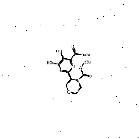 COC(=O)c1nc(C2COCCN2C(=O)OC(C)(C)C)nc(O)c1O